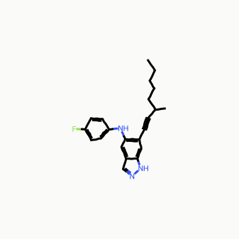 CCCCCC(C)C#Cc1cc2[nH]ncc2cc1Nc1ccc(F)cc1